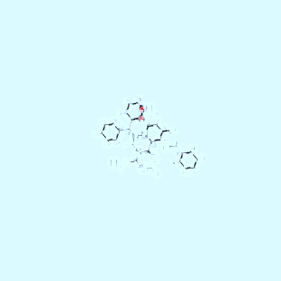 COc1cc(=O)c(OCc2ccccc2)c2n1N(C(c1ccccc1)c1ccccc1)CN(C(C)C)C2=O